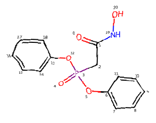 O=C(CP(=O)(Oc1ccccc1)Oc1ccccc1)NO